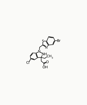 CCC1(CC(=O)O)NN(Cc2nc3cc(Br)ccc3s2)c2ccc(Cl)cc21